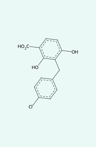 O=C(O)c1ccc(O)c(Cc2ccc(Cl)cc2)c1O